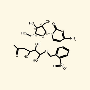 CC(=O)CC(O)C(O)C(O)OCc1ccccc1[N+](=O)[O-].Nc1ccn([C@@H]2O[C@H](CO)[C@@H](O)[C@H]2O)c(=O)n1